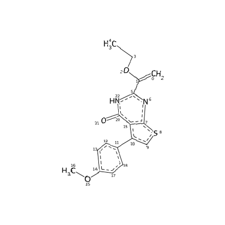 C=C(OCC)c1nc2scc(-c3ccc(OC)cc3)c2c(=O)[nH]1